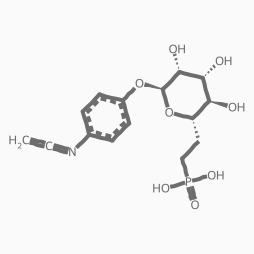 C=C=Nc1ccc(O[C@@H]2O[C@@H](CCP(=O)(O)O)[C@H](O)[C@@H](O)[C@H]2O)cc1